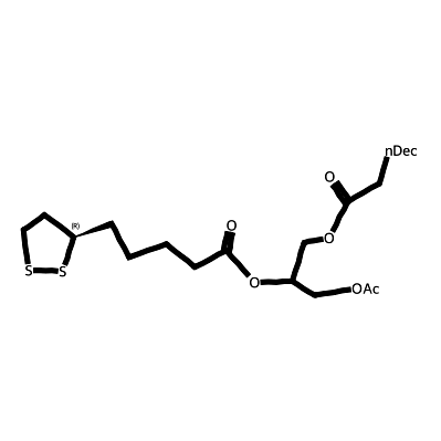 CCCCCCCCCCCC(=O)OCC(COC(C)=O)OC(=O)CCCC[C@@H]1CCSS1